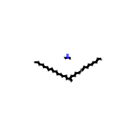 CCCCCCCCCCCCCCCC(C)CCCCCCCCCCCCCC.CNC